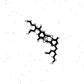 Cc1cc(CC(CCI)CCCI)cc2c1OC1OC2Oc2c(C)cc(C(C)C(CCI)CCCI)cc21